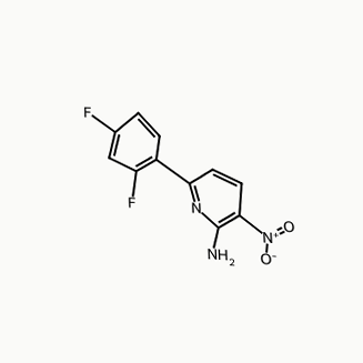 Nc1nc(-c2ccc(F)cc2F)ccc1[N+](=O)[O-]